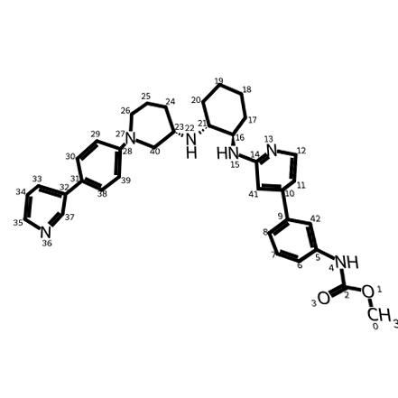 COC(=O)Nc1cccc(-c2ccnc(N[C@@H]3CCCC[C@H]3N[C@H]3CCCN(c4ccc(-c5cccnc5)cc4)C3)c2)c1